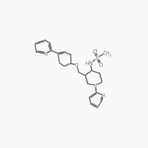 CS(=O)(=O)NC1CCN(c2ccccn2)CC1COC1CC=C(c2ccccn2)CC1